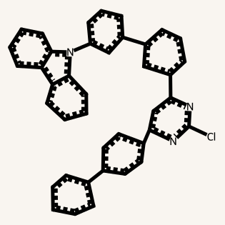 Clc1nc(-c2ccc(-c3ccccc3)cc2)cc(-c2cccc(-c3cccc(-n4c5ccccc5c5ccccc54)c3)c2)n1